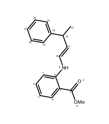 COC(=O)c1ccccc1NC=CC(C)c1ccccc1